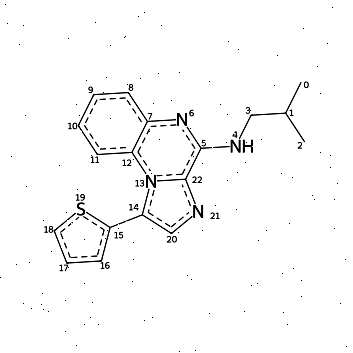 CC(C)CNc1nc2ccccc2n2c(-c3cccs3)cnc12